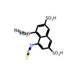 O=S(=O)(O)c1cc(N=C=S)c2c(S(=O)(=O)O)cc(S(=O)(=O)O)cc2c1.[Na].[Na].[Na]